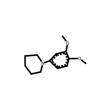 COc1ccc(N2C[CH]CCC2)cc1OC